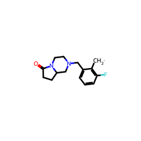 [CH2]c1c(F)cccc1CN1CCN2C(=O)CCC2C1